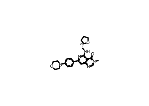 Cn1cnc2cc(-c3ccc(N4CCOCC4)cc3)nc(NC[C@@H]3CCCO3)c2c1=O